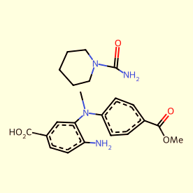 COC(=O)c1ccc(N(C)c2cc(C(=O)O)ccc2N)cc1.NC(=O)N1CCCCC1